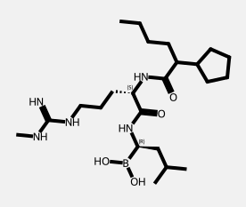 CCCCC(C(=O)N[C@@H](CCCNC(=N)NC)C(=O)N[C@@H](CC(C)C)B(O)O)C1CCCC1